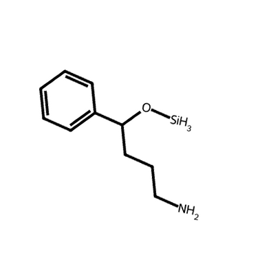 NCCCC(O[SiH3])c1ccccc1